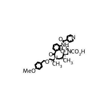 COc1ccc(COC[C@H](C)N2C[C@@H](C)[C@H](CN(C)C(=O)O)Oc3c(NC(=O)c4ccncc4)cccc3C2=O)cc1